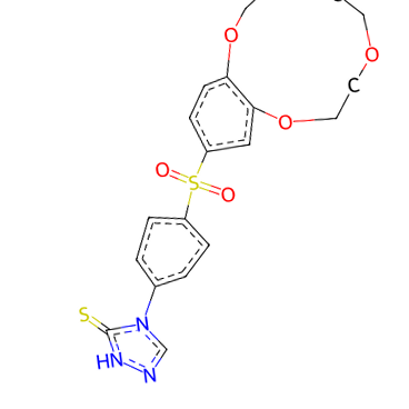 O=S(=O)(c1ccc(-n2cn[nH]c2=S)cc1)c1ccc2c(c1)OCCOCCOCCO2